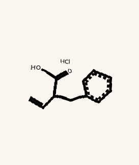 C=CC(Cc1ccccc1)C(=O)O.Cl